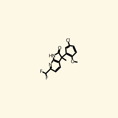 COc1ccc(Cl)cc1C1(C)C(=O)Nc2nc(C(F)F)ccc21